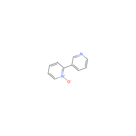 [O-][n+]1ccc[c]c1-c1cccnc1